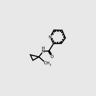 CC1(NC(=O)c2ccccn2)CC1